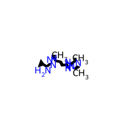 Cc1ncc(C)n2nc(/C=C/c3nc(C(N)C4CC4)nn3C)nc12